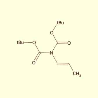 CC=CN(C(=O)OC(C)(C)C)C(=O)OC(C)(C)C